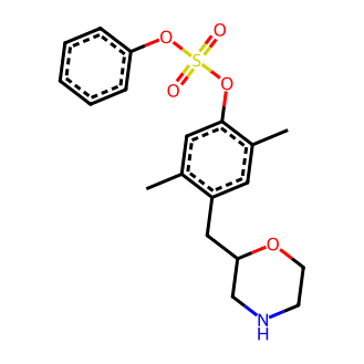 Cc1cc(OS(=O)(=O)Oc2ccccc2)c(C)cc1CC1CNCCO1